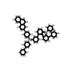 c1ccc(-c2ccc(N(c3ccc(-c4ccc5c(ccc6ccccc65)c4)cc3)c3cccc(-c4cccc5c4c4cccc(-c6ccccc6)c4n5-c4ccccc4)c3)cc2)cc1